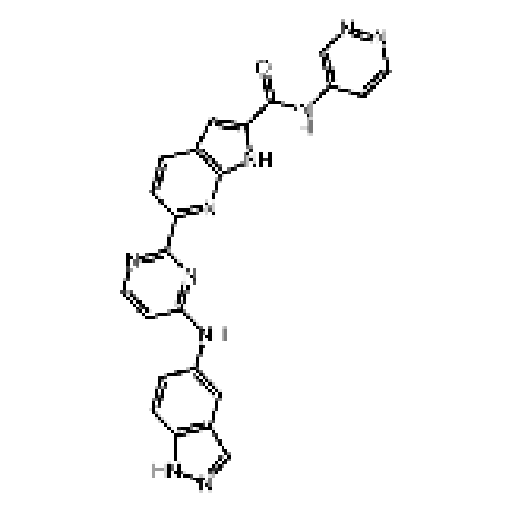 O=C(Nc1ccnnc1)c1cc2ccc(-c3nccc(Nc4ccc5[nH]ncc5c4)n3)nc2[nH]1